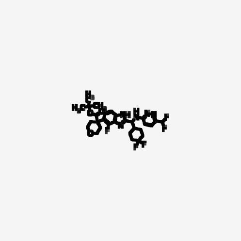 CC(C)(C)OC(=O)C1(c2ccc3[nH]c([C@@H](Nc4ccc(C(F)F)nn4)C4CCC(F)(F)CC4)nc3c2F)CCOCC1